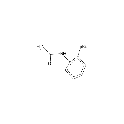 CCCCc1ccccc1NC(N)=O